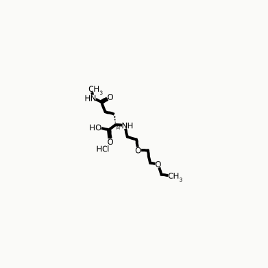 CCOCCOCCN[C@@H](CCC(=O)NC)C(=O)O.Cl